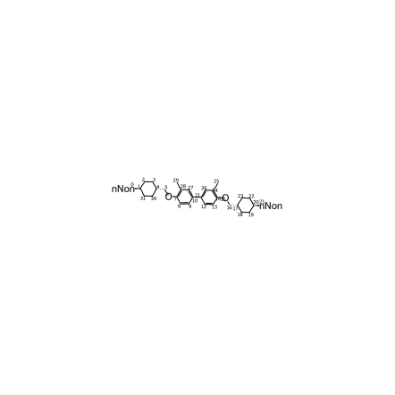 CCCCCCCCC[C@H]1CC[C@H](COc2ccc(-c3ccc(OC[C@H]4CC[C@H](CCCCCCCCC)CC4)c(C)c3)cc2C)CC1